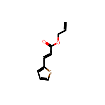 C=CCOC(=O)C=Cc1cccs1